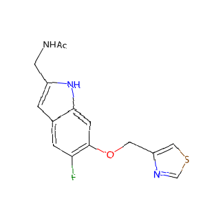 CC(=O)NCc1cc2cc(F)c(OCc3cscn3)cc2[nH]1